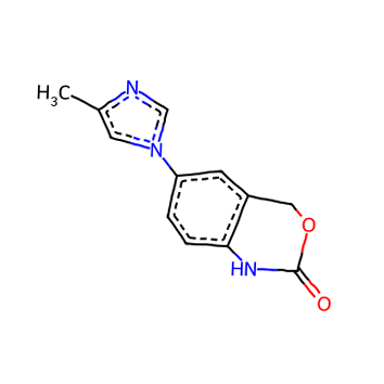 Cc1cn(-c2ccc3c(c2)COC(=O)N3)cn1